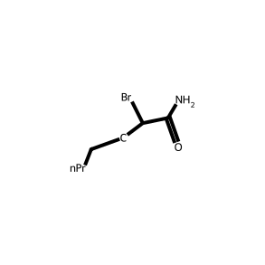 CCCCCC(Br)C(N)=O